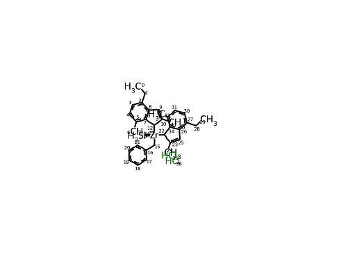 CCc1ccc(C)c2c1C=C(C)[CH]2[Zr](=[SiH2])([CH2]c1ccccc1)[CH]1C(C)=Cc2c(CC)ccc(C)c21.Cl.Cl